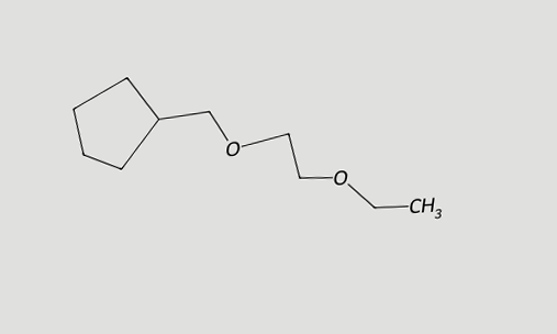 CCOCCOCC1CCCC1